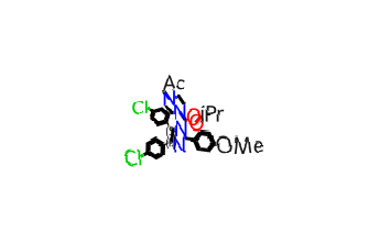 COc1ccc(C2=N[C@H](c3ccc(Cl)cc3)[C@H](c3ccc(Cl)cc3)N2C(=O)N2CCN(CC(C)=O)CC2)c(OC(C)C)c1